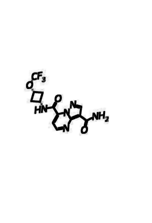 NC(=O)c1cnn2c(C(=O)N[C@H]3C[C@@H](OC(F)(F)F)C3)ccnc12